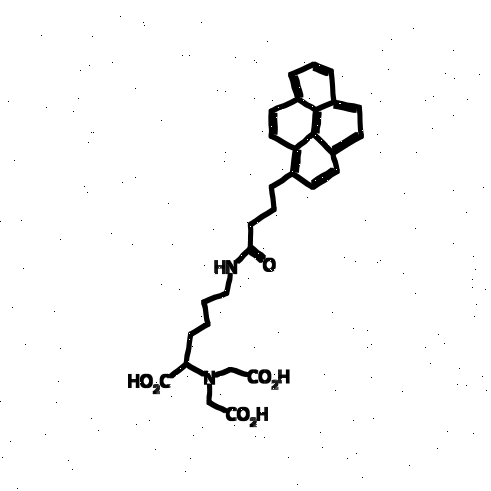 O=C(O)CN(CC(=O)O)C(CCCCNC(=O)CCCc1ccc2ccc3cccc4ccc1c2c34)C(=O)O